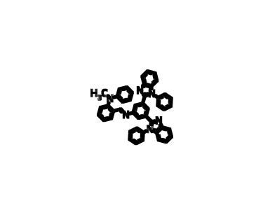 CN(c1ccccc1)c1ccccc1/C=N/c1cc(-c2nc3ccccc3n2-c2ccccc2)cc(-c2nc3ccccc3n2-c2ccccc2)c1